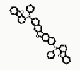 c1ccc(N(c2ccc3cc4c(cc3c2)oc2cc3cc(N(c5ccccc5)c5cccc6c5oc5ccccc56)ccc3cc24)c2cccc3c2oc2ccccc23)cc1